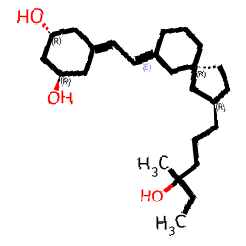 CCC(C)(O)CCC[C@@H]1CC[C@]2(CCC/C(=C\C=C3C[C@@H](O)C[C@H](O)C3)C2)C1